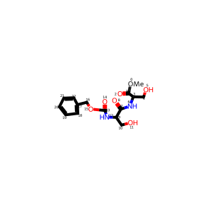 COC(=O)C(CO)NC(=O)C(CO)NC(=O)OCc1ccccc1